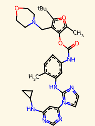 Cc1ccc(NC(=O)Oc2c(C)oc(C(C)(C)C)c2CN2CCOCC2)cc1Nc1nccn1-c1cc(NC2CC2)ncn1